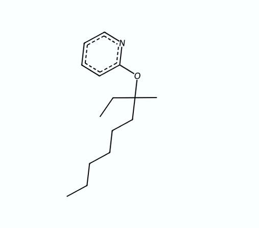 CCCCCCC(C)(CC)Oc1ccccn1